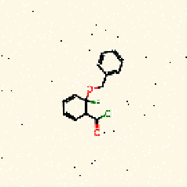 O=C(Cl)C1C=CC=CC1(F)OCc1ccccc1